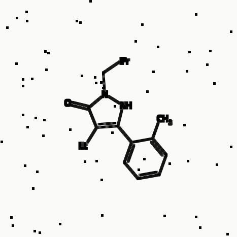 CCc1c(-c2ccccc2C)[nH]n(CC(C)C)c1=O